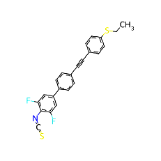 CCSc1ccc(C#Cc2ccc(-c3cc(F)c(N=C=S)c(F)c3)cc2)cc1